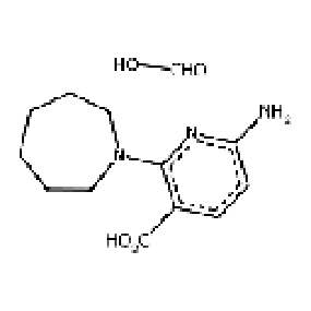 Nc1ccc(C(=O)O)c(N2CCCCCC2)n1.O=CO